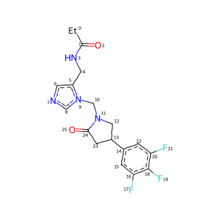 CCC(=O)NCc1cncn1CN1CC(c2cc(F)c(F)c(F)c2)CC1=O